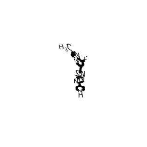 Cc1cn2cc(-c3nn4cc(C5CCNCC5)nc4s3)cc(F)c2n1